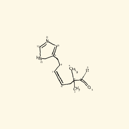 CCC(=O)C(C)(C)/C=C\Cc1cnc[nH]1